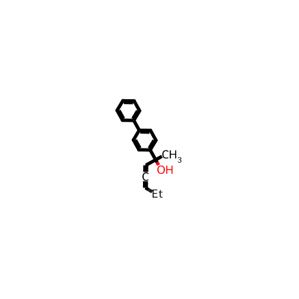 CCC=C=CC(C)(O)c1ccc(-c2ccccc2)cc1